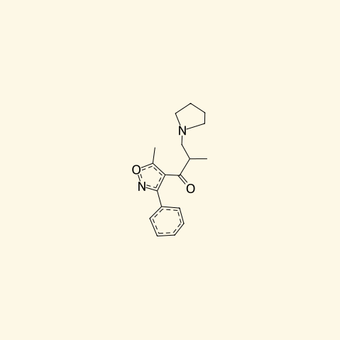 Cc1onc(-c2ccccc2)c1C(=O)C(C)CN1CCCC1